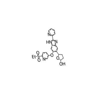 CCS(=O)(=O)c1ccc(Oc2cc3[nH]c(-c4ccccn4)nc3cc2C2CCC(O)O2)cn1